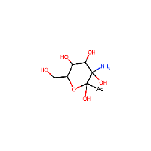 CC(=O)C1(O)OC(CO)C(O)C(O)C1(N)O